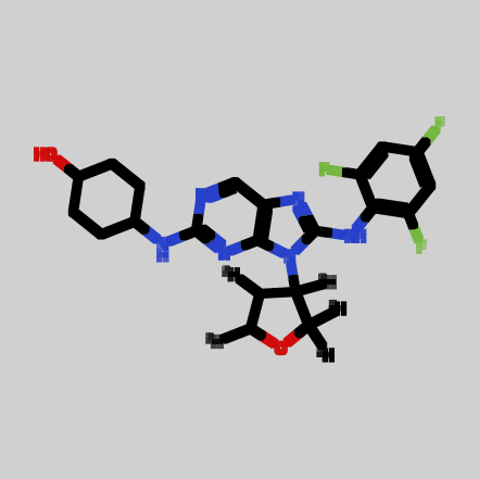 [2H]C1OC([2H])([2H])C([2H])(n2c(Nc3c(F)cc(F)cc3F)nc3cnc(NC4CCC(O)CC4)nc32)C1[2H]